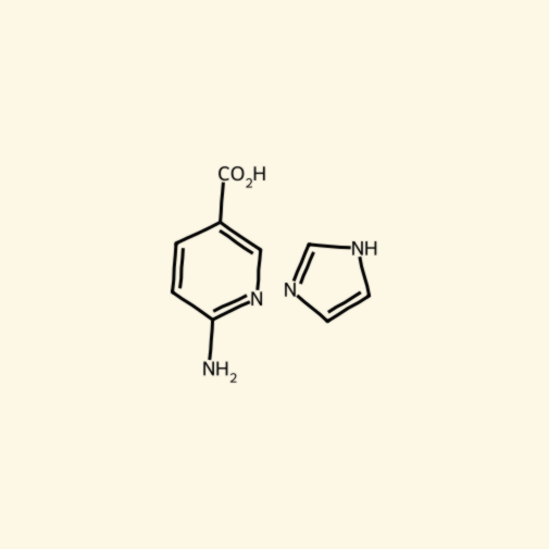 Nc1ccc(C(=O)O)cn1.c1c[nH]cn1